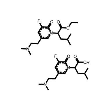 CC(C)CC(C(=O)O)n1cc(CCN(C)C)cc(F)c1=O.CCOC(=O)C(CC(C)C)n1cc(CCN(C)C)cc(F)c1=O